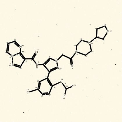 O=C(Nc1cn(CC(=O)N2CCN(C3CCOC3)CC2)nc1-c1cc(Cl)ccc1OC(F)F)c1cnn2cccnc12